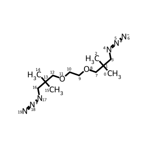 CC(C)(CN=[N+]=[N-])COCCOCC(C)(C)CN=[N+]=[N-]